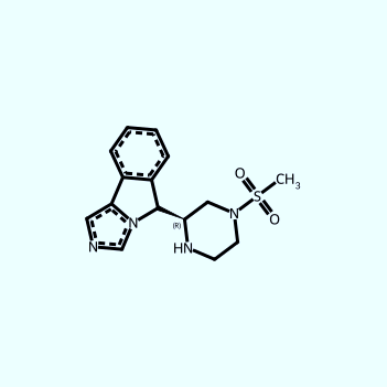 CS(=O)(=O)N1CCN[C@@H](C2c3ccccc3-c3cncn32)C1